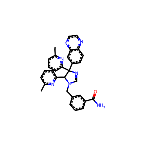 Cc1cccc(C2N(Cc3cccc(C(N)=O)c3)C=NC2(c2ccc3nccnc3c2)c2cccc(C)n2)n1